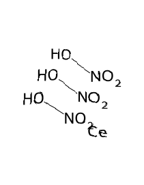 O=[N+]([O-])O.O=[N+]([O-])O.O=[N+]([O-])O.[Ce]